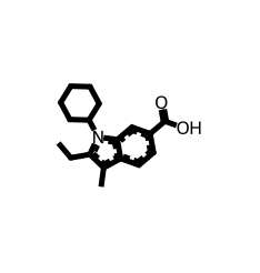 CCc1c(C)c2ccc(C(=O)O)cc2n1C1CCCCC1